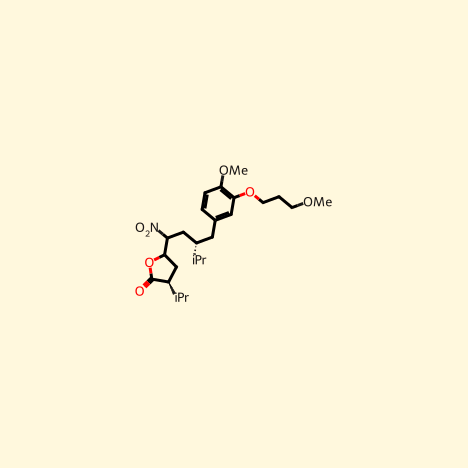 COCCCOc1cc(C[C@@H](CC(C2C[C@@H](C(C)C)C(=O)O2)[N+](=O)[O-])C(C)C)ccc1OC